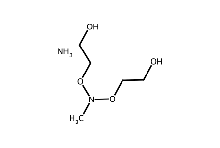 CN(OCCO)OCCO.N